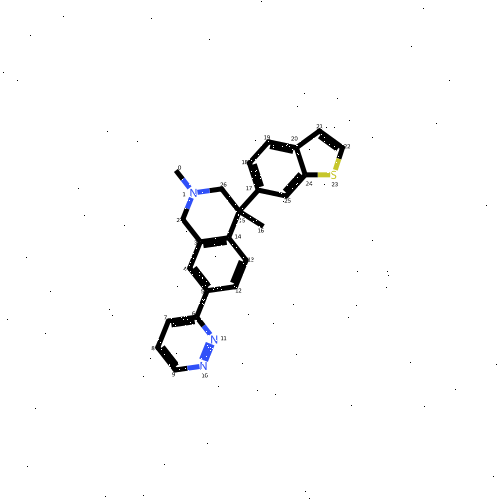 CN1Cc2cc(-c3cccnn3)ccc2C(C)(c2ccc3ccsc3c2)C1